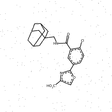 O=C(O)c1coc(-c2ccc(Cl)c(C(=O)NCC34CC5CC(CC(C5)C3)C4)c2)n1